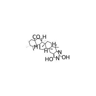 C[C@H]1[C@H](C)CC[C@]2(C(=O)O)CC[C@]3(C)C(=CC[C@@H]4[C@@]5(C)Cc6c(O)nc(O)nc6C(C)(C)[C@@H]5CC[C@]43C)[C@H]12